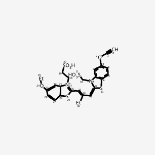 C#COc1ccc2c(c1)N(CS(=O)(=O)O)C(=CC(=CC1=[N+](CCS(=O)(=O)O)C3C=C(OCC)C=CC3S1)CC)S2